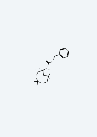 C[C@H]1OC(C)(C)OC[C@@H]2C[C@H]1N(C(=O)OCc1ccccc1)O2